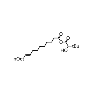 CCCCCCCCC=CCCCCCCCC(=O)OC(=O)C(O)C(C)(C)C